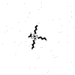 CCCCC[O][Ti]([O]CCCCC)([O]CCCCC)[O]C(C)C